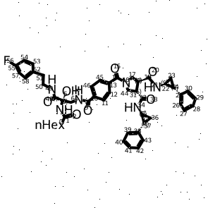 CCCCCCC(=O)N[C@](O)(CNC(=O)c1ccc(C(=O)N2C[C@@H](C(=O)N[C@H]3C[C@@H]3c3ccccc3)[C@H](C(=O)N[C@H]3C[C@@H]3c3ccccc3)C2)cc1)C(=O)NCCc1ccc(F)cc1